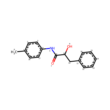 Cc1ccc(NC(=O)C(O)Cc2ccccc2)cc1